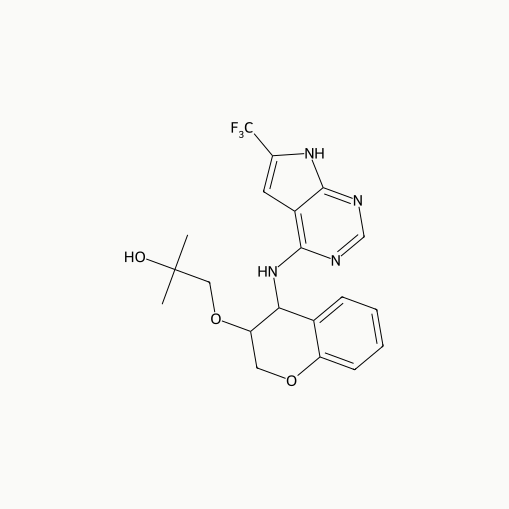 CC(C)(O)COC1COc2ccccc2C1Nc1ncnc2[nH]c(C(F)(F)F)cc12